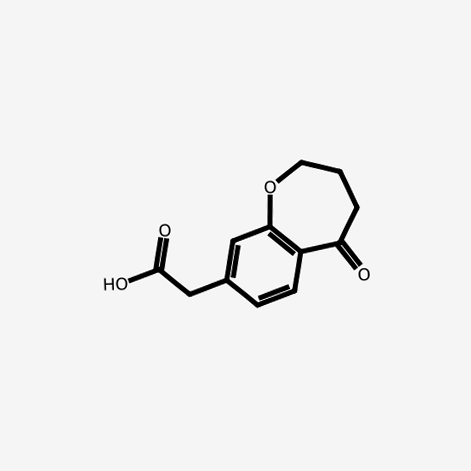 O=C(O)Cc1ccc2c(c1)OCCCC2=O